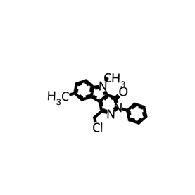 Cc1ccc2c(c1)c1c(CCl)nn(-c3ccccc3)c(=O)c1n2C